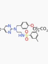 CCc1cnc(N(CCNS(=O)(=O)c2cc(C)cc(CC(=O)O)c2)Cc2ccc(OC(F)(F)F)cc2)nc1